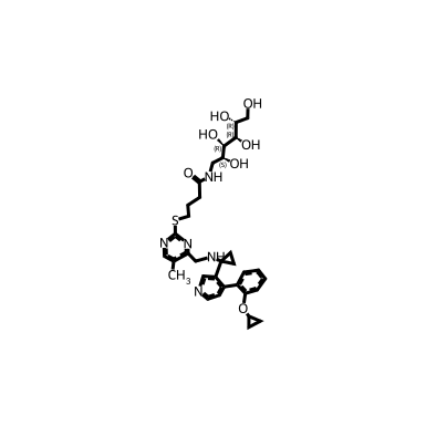 Cc1cnc(SCCCC(=O)NC[C@H](O)[C@@H](O)[C@H](O)[C@H](O)CO)nc1CNC1(c2cnccc2-c2ccccc2OC2CC2)CC1